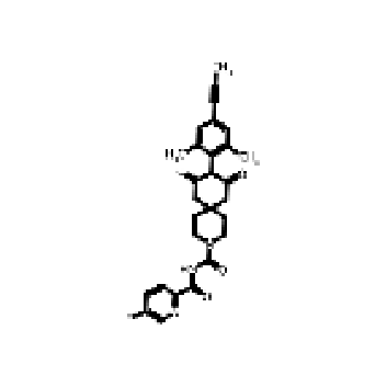 CC#Cc1cc(C)c(C2C(=O)CC3(CCN(C(=O)NC(=O)c4ccc(F)cn4)CC3)CC2=O)c(C)c1